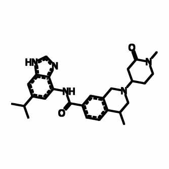 CC(C)c1cc(NC(=O)c2ccc3c(c2)CN(C2CCN(C)C(=O)C2)CC3C)c2nc[nH]c2c1